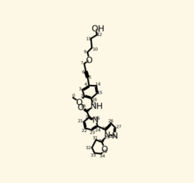 COc1cc(C#CCOCCCCO)ccc1NC(=O)c1cccc(-c2ccnn2C2CCCCO2)n1